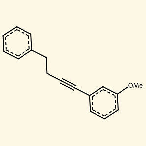 COc1cccc(C#CCCc2ccccc2)c1